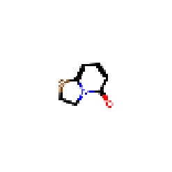 O=c1cccc2n1CCS2